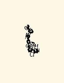 C=CC(=O)N1CCC[C@H](n2cc(-c3ccc(NC(=O)c4cccc(-c5[nH]ncc5Cl)n4)c(OC)c3)nn2)C1